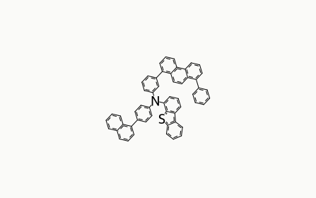 c1ccc(-c2cccc3c2ccc2c(-c4cccc(N(c5ccc(-c6cccc7ccccc67)cc5)c5cccc6c5sc5ccccc56)c4)cccc23)cc1